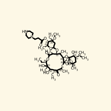 CC[C@H]1OC(=O)[C@H](C)[C@@H](OC2C[C@@](C)(OC)[C@@H](OC(=O)CCN3CCNCC3)[C@H](C)O2)[C@H](C)[C@@H](OC2O[C@H](C)C[C@H](N(C)C)[C@H]2O)[C@](C)(OC)C[C@@H](C)C(=O)[C@H](C)[C@@H](O)[C@]1(C)O